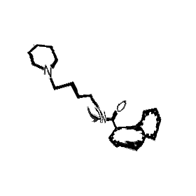 O=C(NCCCCN1CC[CH]CC1)c1cccc2ccccc12